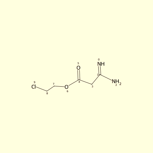 N=C(N)CC(=O)OCCCl